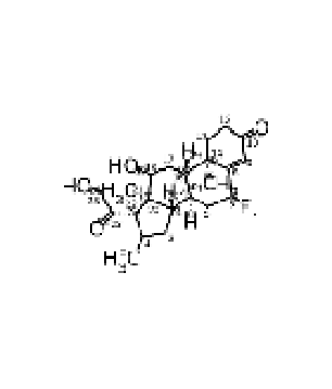 CC1C[C@H]2[C@@H]3CC(F)C4=CC(=O)CC[C@]4(C)[C@H]3CC(O)[C@]2(C)[C@H]1C(=O)CO